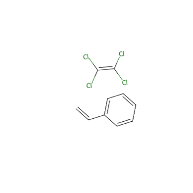 C=Cc1ccccc1.ClC(Cl)=C(Cl)Cl